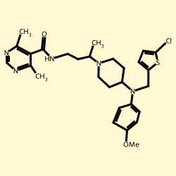 COc1ccc(N(Cc2ccc(Cl)s2)C2CCN(C(C)CCNC(=O)c3c(C)ncnc3C)CC2)cc1